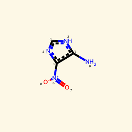 Nc1[nH]cnc1[N+](=O)[O-]